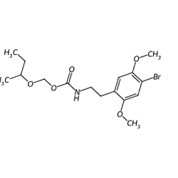 CCC(C)OCOC(=O)NCCc1cc(OC)c(Br)cc1OC